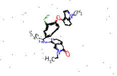 CCN1Cc2c(ccnc2N[C@@H](C)c2ccc(Oc3cccc4c3ccn4C)c(F)c2)C1=O